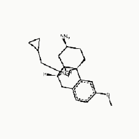 COc1ccc2c(c1)[C@@]13CC[C@H](N)C[C@@]1(O)[C@@H](C2)N(CC1CC1)CC3